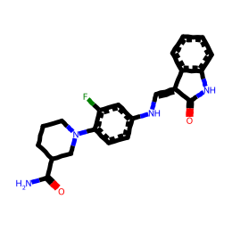 NC(=O)C1CCCN(c2ccc(NC=C3C(=O)Nc4ccccc43)cc2F)C1